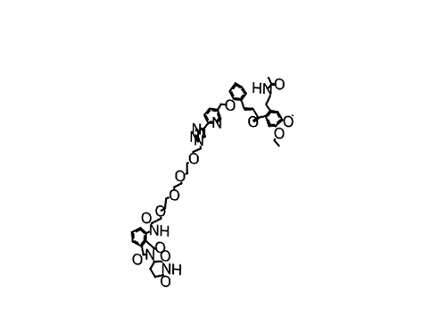 CCOc1cc(C(=O)/C=C/c2ccccc2OCc2ccc(-c3cn(CCOCCOCCOCCOCC(=O)Nc4cccc5c4C(=O)N(C4CCC(=O)NC4=O)C5=O)nn3)nc2)c(CCNC(C)=O)cc1OC